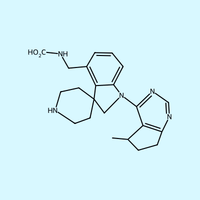 CC1CCc2ncnc(N3CC4(CCNCC4)c4c(CNC(=O)O)cccc43)c21